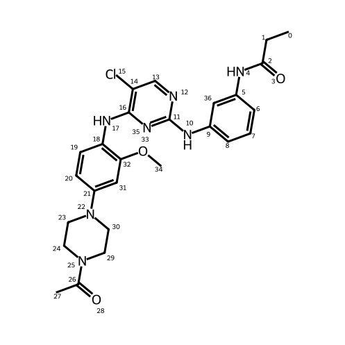 CCC(=O)Nc1cccc(Nc2ncc(Cl)c(Nc3ccc(N4CCN(C(C)=O)CC4)cc3OC)n2)c1